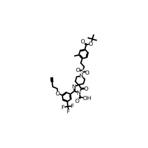 C#CCCOc1cc(C2=NC3(CCN(S(=O)(=O)CCc4ccc(C(=O)OC(C)(C)C)cc4C)CC3)C(=O)N2C(=O)O)cc(C(F)(F)F)c1